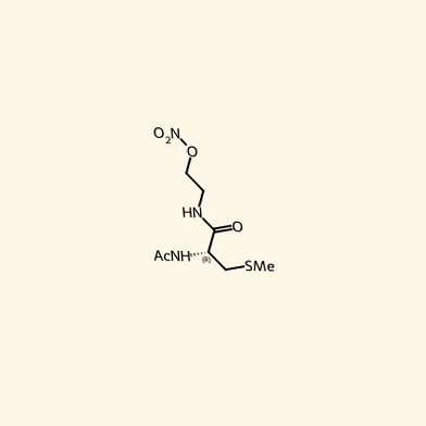 CSC[C@H](NC(C)=O)C(=O)NCCO[N+](=O)[O-]